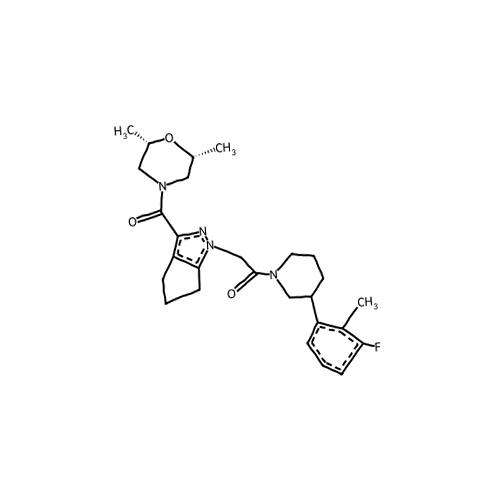 Cc1c(F)cccc1C1CCCN(C(=O)Cn2nc(C(=O)N3C[C@@H](C)O[C@@H](C)C3)c3c2CCC3)C1